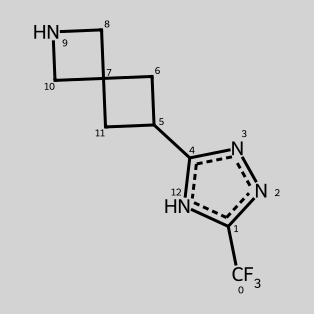 FC(F)(F)c1nnc(C2CC3(CNC3)C2)[nH]1